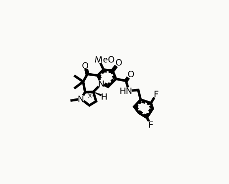 COc1c2n(cc(C(=O)NCc3ccc(F)cc3F)c1=O)[C@@H]1CCN(C)C1C(C)(C)C2=O